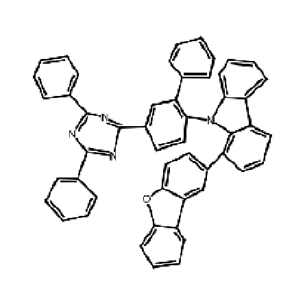 c1ccc(-c2nc(-c3ccccc3)nc(-c3ccc(-n4c5ccccc5c5cccc(-c6ccc7oc8ccccc8c7c6)c54)c(-c4ccccc4)c3)n2)cc1